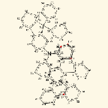 c1ccc(-c2ccccc2-c2c(-c3ccccc3)cccc2-c2ccccc2N(c2cccc(-c3cccc4ccccc34)c2)c2ccc3c(c2)C(c2ccccc2)(c2ccccc2)c2ccccc2-3)cc1